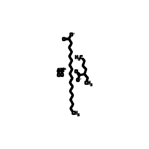 CCCCC(CC)C(=O)[O-].CCCCCCCCCCCCCCCCCC(=O)[O-].[O]=[Al+].[O]=[Al+]